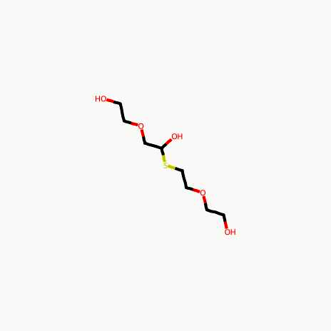 OCCOCCSC(O)COCCO